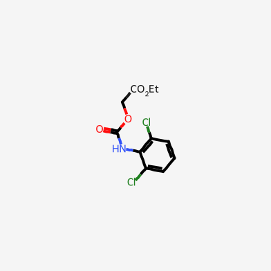 CCOC(=O)COC(=O)Nc1c(Cl)cccc1Cl